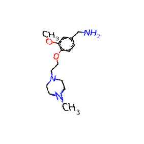 COc1cc(CN)ccc1OCCN1CCN(C)CC1